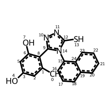 Cc1cc(O)cc(O)c1-c1nnc(S)n1-c1cccc2ccccc12